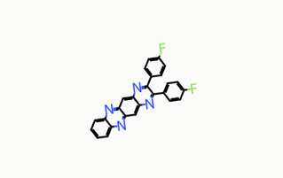 Fc1ccc(-c2nc3cc4nc5ccccc5nc4cc3nc2-c2ccc(F)cc2)cc1